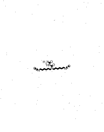 NC(=O)NC(=O)N(CCCCCCN=C=O)CCCCCCN=C=O